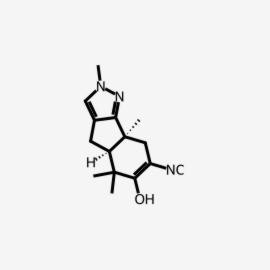 [C-]#[N+]C1=C(O)C(C)(C)[C@H]2Cc3cn(C)nc3[C@@]2(C)C1